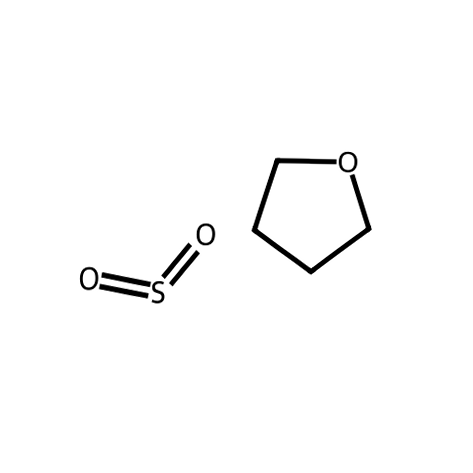 C1CCOC1.O=S=O